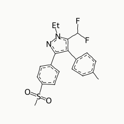 CCn1nc(-c2ccc(S(C)(=O)=O)cc2)c(-c2ccc(C)cc2)c1C(F)F